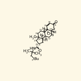 CC(C)(C)CC(C)(C)NC(=O)[C@H]1C[C@H]2[C@@H]3CC[C@H]4SC(=O)C=C[C@]4(C)[C@H]3CC[C@]2(C)C1